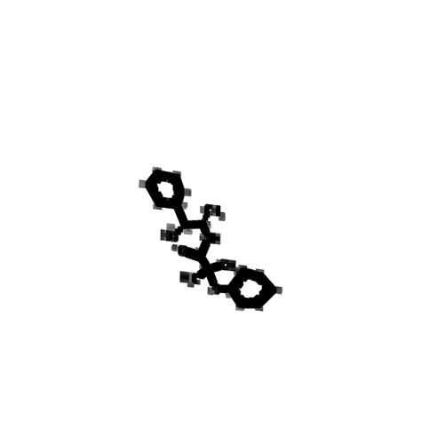 C[C@H](NC(=O)C(C)(C)Sc1ccccc1)[C@H](O)c1ccccc1